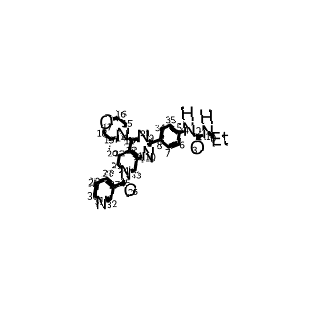 CCNC(=O)Nc1ccc(-c2nc3c(c(N4CCOC[C@H]4C)n2)CCN(C(=O)c2cccnc2)C3)cc1